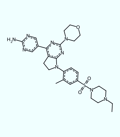 CCN1CCN(S(=O)(=O)c2ccc(N3CCc4c(-c5cnc(N)nc5)nc(N5CCOCC5)nc43)c(C)c2)CC1